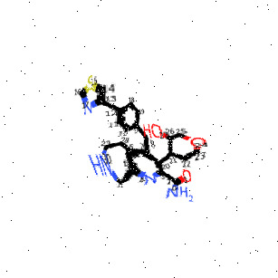 NC(=O)c1nc2c(c(Cc3ccc(-c4cscn4)cc3)c1C1CCOCC1O)CCNC2